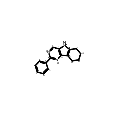 c1ccc(-c2ncc3[nH]c4c(c3n2)CCCC4)cc1